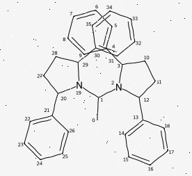 CC(N1C(c2ccccc2)CCC1c1ccccc1)N1C(c2ccccc2)CCC1c1ccccc1